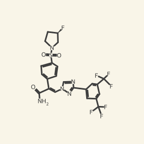 NC(=O)/C(=C/n1cnc(-c2cc(C(F)(F)F)cc(C(F)(F)F)c2)n1)c1ccc(S(=O)(=O)N2CC[C@@H](F)C2)cc1